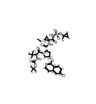 CC[C@@H]1C[C@]1(NC(=O)[C@@H]1C[C@@H](Oc2nccc3cc(Cl)ccc23)CN1C(=O)[C@@H](NC(=O)OC(C)(C)C)C(C)(C)C)C(=O)NS(=O)(=O)OC1(C)CC1